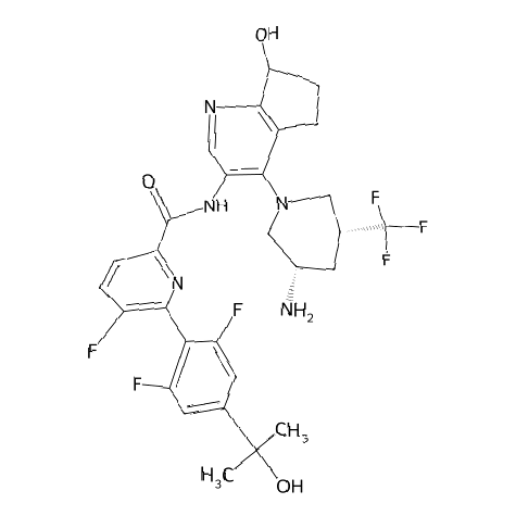 CC(C)(O)c1cc(F)c(-c2nc(C(=O)Nc3cnc4c(c3N3C[C@@H](N)C[C@@H](C(F)(F)F)C3)CCC4O)ccc2F)c(F)c1